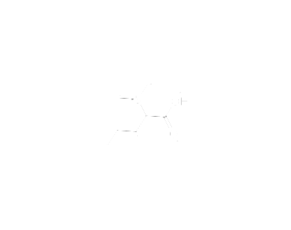 CCCC(C(=O)O)[S+](C)C